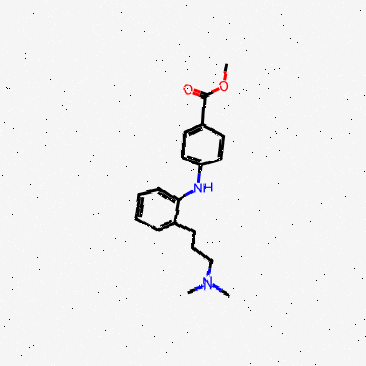 COC(=O)c1ccc(Nc2ccccc2CCCN(C)C)cc1